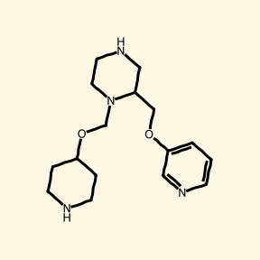 c1cncc(OCC2CNCCN2COC2CCNCC2)c1